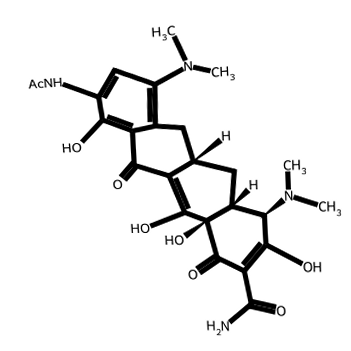 CC(=O)Nc1cc(N(C)C)c2c(c1O)C(=O)C1=C(O)[C@@]3(O)C(=O)C(C(N)=O)=C(O)[C@H](N(C)C)[C@H]3C[C@H]1C2